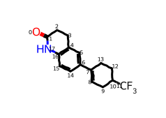 O=C1CCc2cc(C3=CCC(C(F)(F)F)CC3)ccc2N1